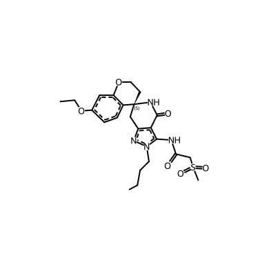 CCCCn1nc2c(c1NC(=O)CS(C)(=O)=O)C(=O)N[C@]1(CCOc3cc(OCC)ccc31)C2